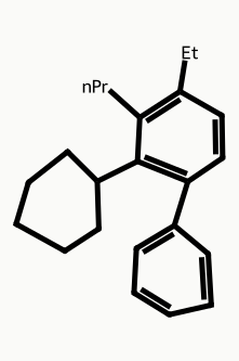 CCCc1c(CC)ccc(-c2ccccc2)c1C1CCCCC1